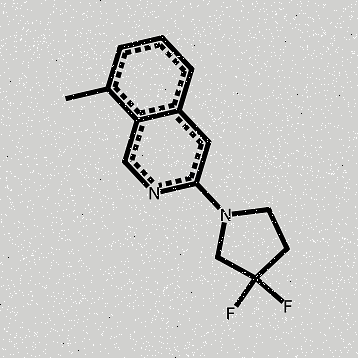 Cc1cccc2cc(N3CCC(F)(F)C3)ncc12